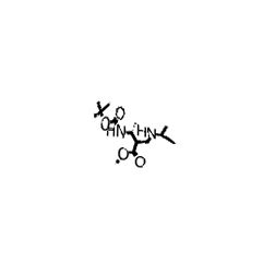 COC(=O)C(CNC(C)C)[C@@H](C)NC(=O)OC(C)(C)C